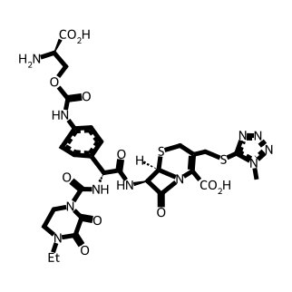 CCN1CCN(C(=O)N[C@@H](C(=O)N[C@@H]2C(=O)N3C(C(=O)O)=C(CSc4nnnn4C)CS[C@H]23)c2ccc(NC(=O)OC[C@@H](N)C(=O)O)cc2)C(=O)C1=O